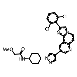 COCC(=O)N[C@H]1CC[C@H](n2cc(-c3cnc4ccn5cc(-c6c(Cl)cccc6Cl)nc5c4c3)cn2)CC1